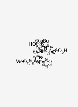 CCCCOP(=O)(O)C[C@H](NC(=O)c1cc(CCCOC)nc(-c2ccccc2)n1)C(=O)N1CCN(OC(=O)O)CC1